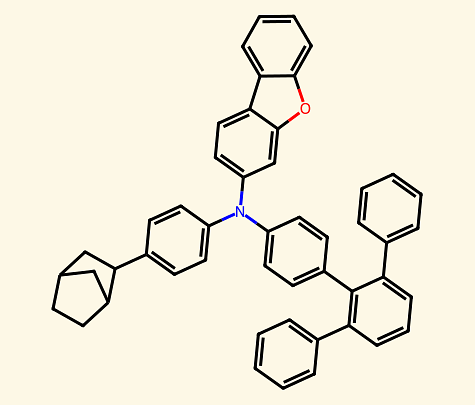 c1ccc(-c2cccc(-c3ccccc3)c2-c2ccc(N(c3ccc(C4CC5CCC4C5)cc3)c3ccc4c(c3)oc3ccccc34)cc2)cc1